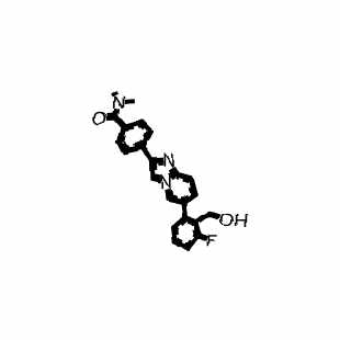 CN(C)C(=O)c1ccc(-c2cn3cc(-c4cccc(F)c4CO)ccc3n2)cc1